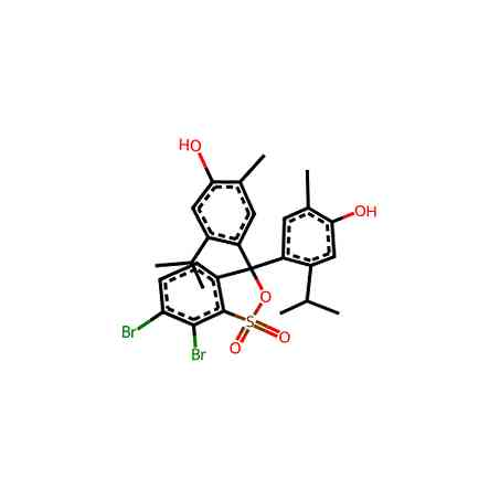 Cc1cc(C2(c3cc(C)c(O)cc3C(C)C)OS(=O)(=O)c3c2ccc(Br)c3Br)c(C(C)C)cc1O